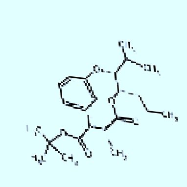 CCC[C@H](OC(=O)[C@H](C)NC(=O)OC(C)(C)C)[C@H](Oc1ccccc1)C(C)C